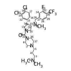 CN(C)CCCN1CCN(C(=O)N2C[C@H](c3ccc(Cl)c(Cl)c3)[C@H](N(C)Cc3ccc(C(F)(F)F)c(F)c3)C2)CC1